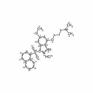 COc1cc(OCCCN(C)C)c2[nH]nc(S(=O)(=O)c3cccc4ccccc34)c2c1.Cl